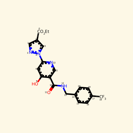 CCOC(=O)c1cnn(-c2cc(O)c(C(=O)NCc3ccc(C(F)(F)F)cc3)cn2)c1